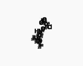 CS(=O)(=O)c1ccc(Cl)c(COCNc2ccc(-n3nc(C4CC4)cc3C3CC3)cc2)c1